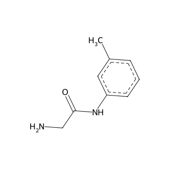 Cc1cccc(NC(=O)CN)c1